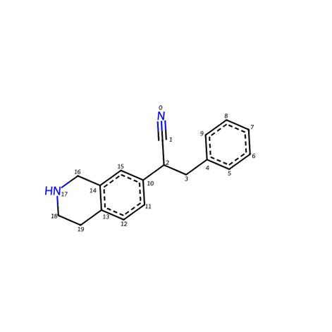 N#CC(Cc1ccccc1)c1ccc2c(c1)CNCC2